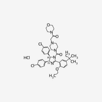 CCOc1ccc(C(C)(C)C)cc1C1=N[C@@H](c2ccc(Cl)cc2)[C@@H](c2ccc(Cl)cc2)N1C(=O)N1CCN(CC(=O)N2CCOCC2)CC1.Cl